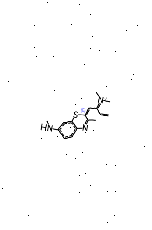 C=CC(/C=C1/Sc2cc(NC)ccc2N=C1C)=[N+](C)C